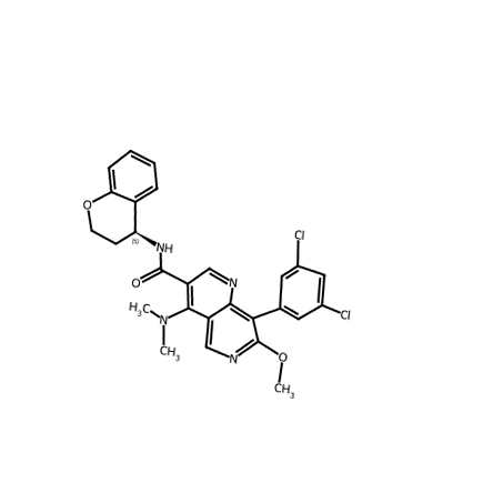 COc1ncc2c(N(C)C)c(C(=O)N[C@H]3CCOc4ccccc43)cnc2c1-c1cc(Cl)cc(Cl)c1